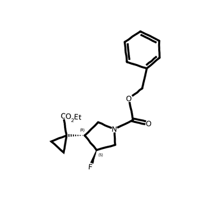 CCOC(=O)C1([C@@H]2CN(C(=O)OCc3ccccc3)C[C@H]2F)CC1